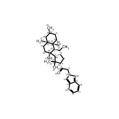 CC[C@H]1[C@](N)([C@@H]2CC[C@H](C(=O)Cn3cc4ncccc4n3)C2(C)C)CC[C@]2(N)C[C@@H](C)CC[C@]12N